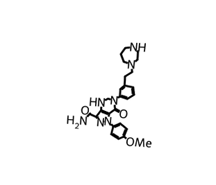 COc1ccc(-n2nc(C(N)=O)c3c2C(=O)N(c2cccc(CCN4CCCNCC4)c2)CN3)cc1